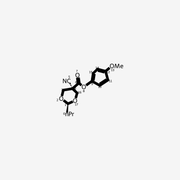 CCC[C@H]1OC[C@@](C#N)(C(=O)Oc2ccc(OC)cc2)CO1